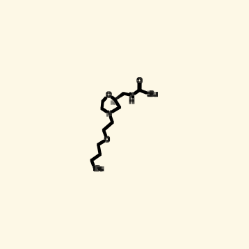 CC(C)(C)CCCOCCN1CCO[C@@H](CNC(=O)C(C)(C)C)C1